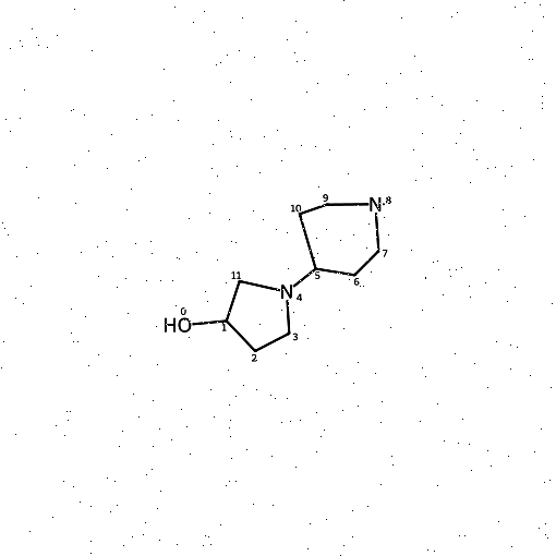 OC1CCN(C2CC[N]CC2)C1